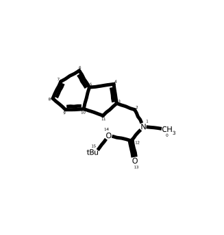 CN(CC1=Cc2ccccc2C1)C(=O)OC(C)(C)C